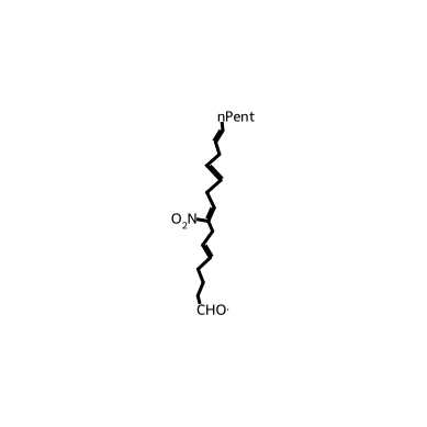 CCCCC/C=C/C/C=C/C/C=C(/C/C=C/CCC[C]=O)[N+](=O)[O-]